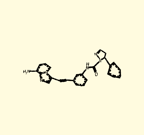 Nc1cccn2c(C#Cc3cccc(NC(=O)N4N=CCC4c4ccccc4)c3)cnc12